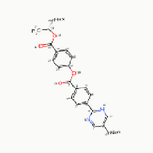 CCCCCCCCCc1cnc(-c2ccc(C(=O)Oc3ccc(C(=O)O[C@@H](CCCCCC)C(F)(F)F)cc3)cc2)nc1